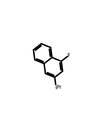 CC(C)c1cc(F)c2ccccc2c1